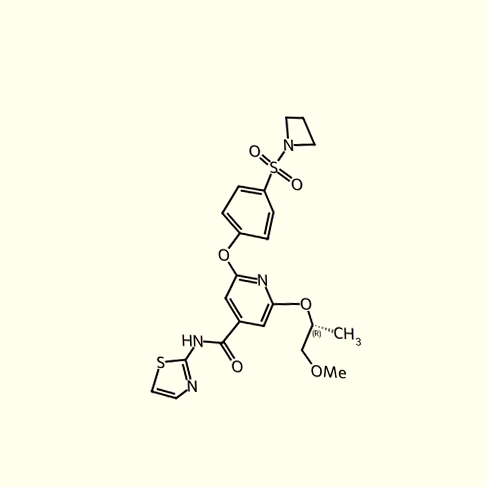 COC[C@@H](C)Oc1cc(C(=O)Nc2nccs2)cc(Oc2ccc(S(=O)(=O)N3CCC3)cc2)n1